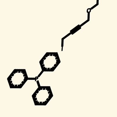 N#CCOCC#CCI.c1ccc(P(c2ccccc2)c2ccccc2)cc1